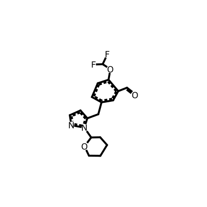 O=Cc1cc(Cc2ccnn2C2CCCCO2)ccc1OC(F)F